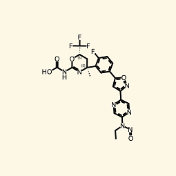 CCN(N=O)c1cnc(-c2cc(-c3ccc(F)c([C@]4(C)C[C@@H](C(F)(F)F)OC(NC(=O)O)=N4)c3)on2)cn1